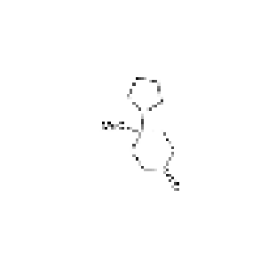 COC1(C2CCCC2)CCC(=O)CC1